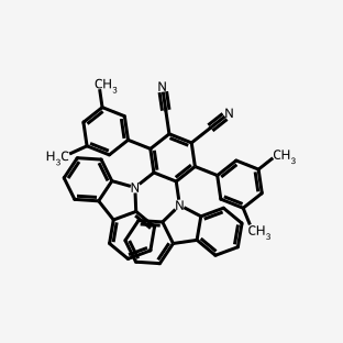 Cc1cc(C)cc(-c2c(C#N)c(C#N)c(-c3cc(C)cc(C)c3)c(-n3c4ccccc4c4ccccc43)c2-n2c3ccccc3c3ccccc32)c1